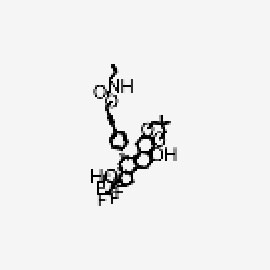 C=CCNC(=O)OCC#Cc1ccc([C@H]2C[C@@]3(C)C(CC[C@@]3(O)C(F)(F)C(F)(F)F)C3CCC4(O)CC5(CCC4=C32)OCC(C)(C)CO5)cc1